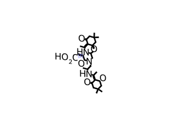 CC(NC(C)CN(CC(C)NC(C)=C1C(=O)CC(C)(C)CC1=O)C(=O)/C=C\C(=O)O)=C1C(=O)CC(C)(C)CC1=O